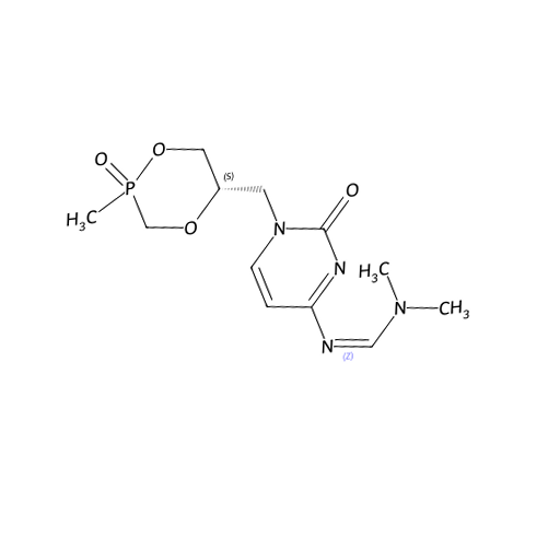 CN(C)/C=N\c1ccn(C[C@H]2COP(C)(=O)CO2)c(=O)n1